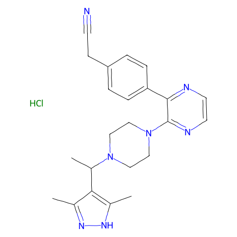 Cc1n[nH]c(C)c1C(C)N1CCN(c2nccnc2-c2ccc(CC#N)cc2)CC1.Cl